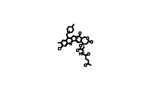 CC[C@@]1(OC(=O)CNC(=O)CCC(C)=O)CC(=O)OCc2c1cc1n(c2=O)Cc2c-1nc1cc(Cl)c(C)cc1c2CN1CCC(C)CC1